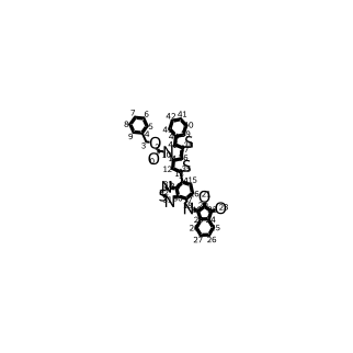 O=C(OCc1ccccc1)n1c2cc(-c3ccc(/N=c4\c(=O)c(=O)c5ccccc45)c4nsnc34)sc2c2sc3ccccc3c21